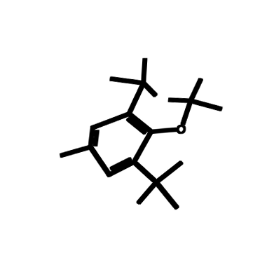 Cc1cc(C(C)(C)C)c(OC(C)(C)C)c(C(C)(C)C)c1